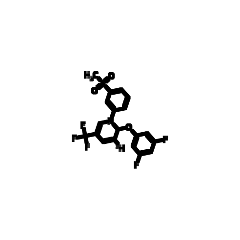 [2H]C1=CC(C(F)(F)F)=CN(c2cccc(S(C)(=O)=O)c2)C1Oc1cc(F)cc(F)c1